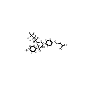 O=C(O)CCCc1ccc(C(CCC(F)(F)C(F)(F)C(F)(F)F)NS(=O)(=O)c2ccc(F)cc2)cc1